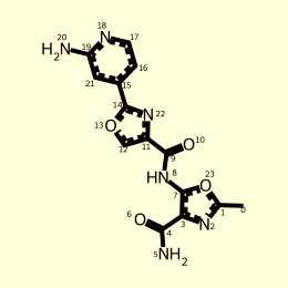 Cc1nc(C(N)=O)c(NC(=O)c2coc(-c3ccnc(N)c3)n2)o1